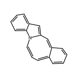 C1=Cn2c(cc3ccccc32)C=c2ccccc2=C1